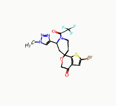 Cn1cc(C2CC3(CCN2C(=O)C(F)(F)F)OCC(=O)c2cc(Br)sc23)nn1